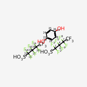 O=S(=O)(O)C(F)(F)C(F)(F)C(F)(F)C(F)(F)F.O=S(=O)(O)C(F)(F)C(F)(F)C(F)(F)C(F)(F)F.Oc1ccc(O)cc1